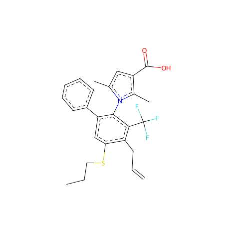 C=CCc1c(SCCC)cc(-c2ccccc2)c(-n2c(C)cc(C(=O)O)c2C)c1C(F)(F)F